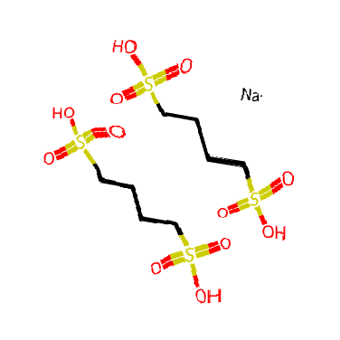 O=S(=O)(O)CCCCS(=O)(=O)O.O=S(=O)(O)CCCCS(=O)(=O)O.[Na]